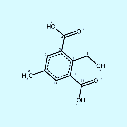 Cc1cc(C(=O)O)c(CO)c(C(=O)O)c1